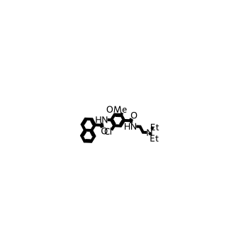 CCN(CC)CCNC(=O)c1cc(Cl)c(NC(=O)c2cccc3ccccc23)cc1OC